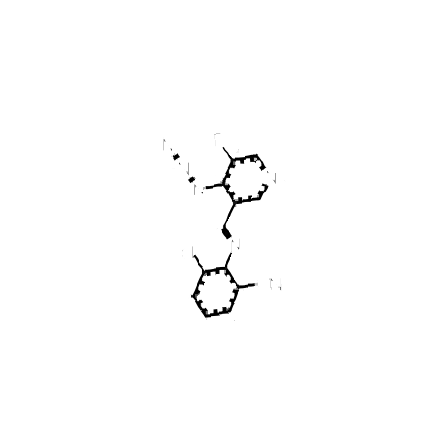 N#Cc1cccc(Cl)c1/N=C/c1cncc(F)c1N=[N+]=[N-]